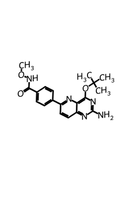 CONC(=O)c1ccc(-c2ccc3nc(N)nc(OC(C)(C)C)c3n2)cc1